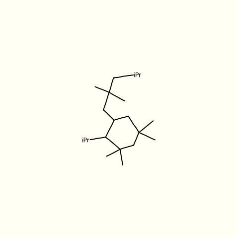 CC(C)CC(C)(C)CC1CC(C)(C)CC(C)(C)C1C(C)C